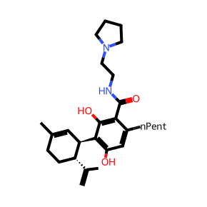 C=C(C)[C@@H]1CCC(C)=C[C@H]1c1c(O)cc(CCCCC)c(C(=O)NCCN2CCCC2)c1O